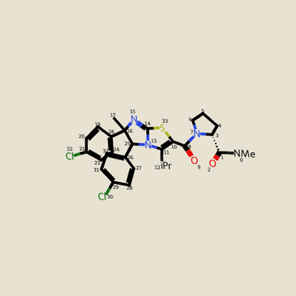 CNC(=O)[C@H]1CCCN1C(=O)C1=C(C(C)C)N2C(=NC(C)(c3ccc(Cl)cc3)C2c2ccc(Cl)cc2)S1